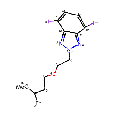 CCC(CCOCCn1nc2c(I)ccc(I)c2n1)OC